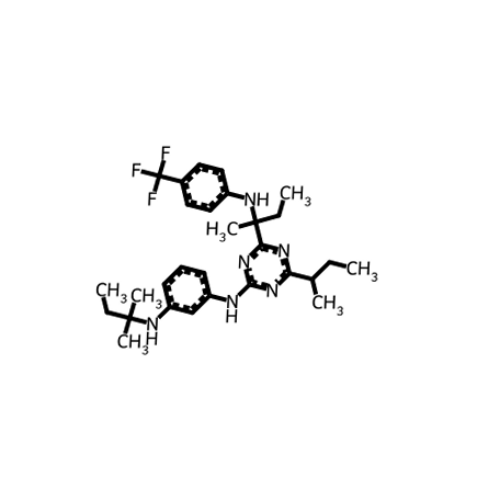 CCC(C)c1nc(Nc2cccc(NC(C)(C)CC)c2)nc(C(C)(CC)Nc2ccc(C(F)(F)F)cc2)n1